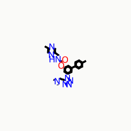 Cc1ccc(-c2cc(OC(=O)NCc3cnc(C)cn3)cc(-n3nnnc3CN(C)C)c2)cc1